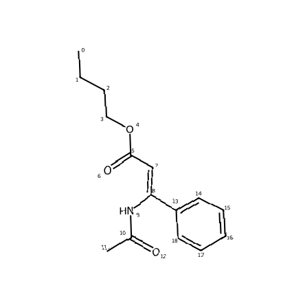 CCCCOC(=O)C=C(NC(C)=O)c1ccccc1